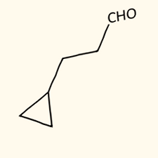 O=CCCC1CC1